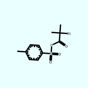 CCC(C)(C)C(=O)OS(=O)(=O)c1ccc(C)cc1